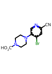 N#Cc1cc(Br)c(N2CCN(C(=O)O)CC2)cn1